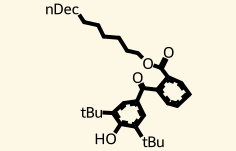 CCCCCCCCCCCCCCCCOC(=O)c1ccccc1C(=O)c1cc(C(C)(C)C)c(O)c(C(C)(C)C)c1